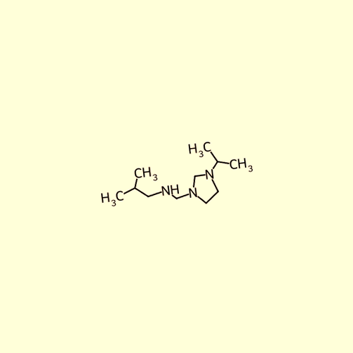 CC(C)CNCN1CCN(C(C)C)C1